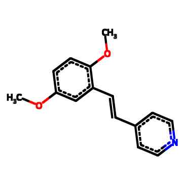 COc1ccc(OC)c(/C=C/c2ccncc2)c1